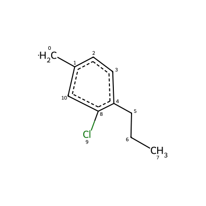 [CH2]c1ccc(CCC)c(Cl)c1